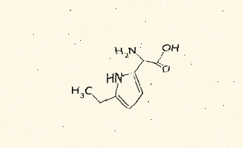 CCc1ccc(C(N)C(=O)O)[nH]1